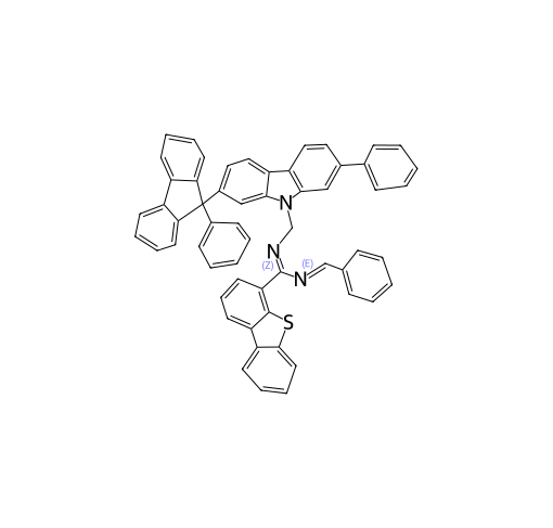 C(=N\C(=N/Cn1c2cc(-c3ccccc3)ccc2c2ccc(C3(c4ccccc4)c4ccccc4-c4ccccc43)cc21)c1cccc2c1sc1ccccc12)/c1ccccc1